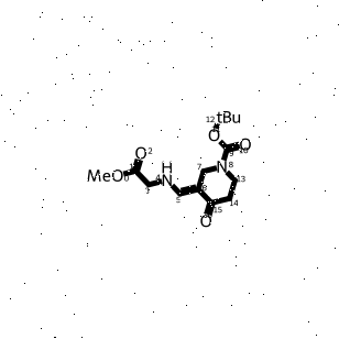 COC(=O)CNC=C1CN(C(=O)OC(C)(C)C)CCC1=O